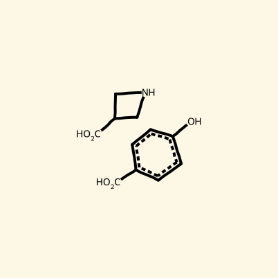 O=C(O)C1CNC1.O=C(O)c1ccc(O)cc1